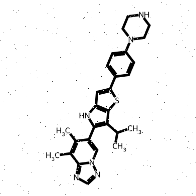 Cc1c(-c2[nH]c3cc(-c4ccc(N5CCNCC5)cc4)sc3c2C(C)C)cn2ncnc2c1C